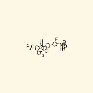 O=[SH](=O)NCc1ccc(-c2ccc(-c3nc4c(C(F)(F)F)cc(C(F)(F)F)cc4[nH]3)c(Cl)c2)cc1F